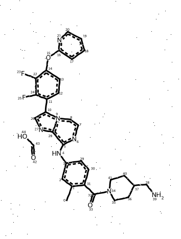 Cc1cc(Nc2nccn3c(-c4ccc(Oc5ccccn5)c(F)c4F)cnc23)ccc1C(=O)N1CCC(CN)CC1.O=CO